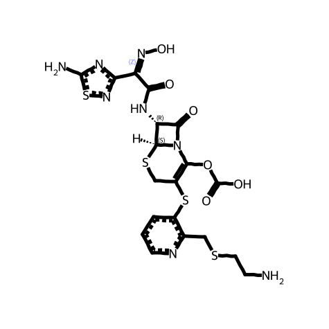 NCCSCc1ncccc1SC1=C(OC(=O)O)N2C(=O)[C@@H](NC(=O)/C(=N\O)c3nsc(N)n3)[C@@H]2SC1